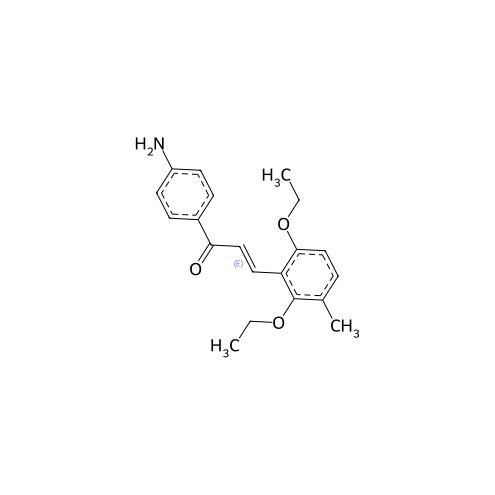 CCOc1ccc(C)c(OCC)c1/C=C/C(=O)c1ccc(N)cc1